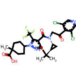 CC1(C(=O)O)CCC(n2ncc(C(=O)N(CC(=O)c3c(Cl)cncc3Cl)[C@@H]3C[C@H]3C(C)(C)C)c2C(F)(F)F)CC1